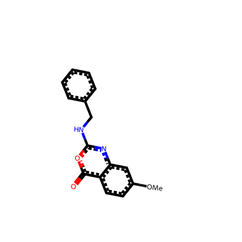 COc1ccc2c(=O)oc(NCc3ccccc3)nc2c1